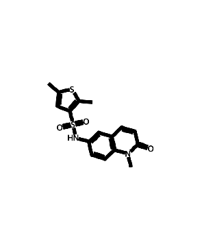 Cc1cc(S(=O)(=O)Nc2ccc3c(ccc(=O)n3C)c2)c(C)s1